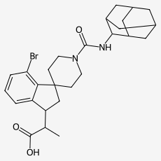 CC(C(=O)O)C1CC2(CCN(C(=O)NC3C4CC5CC(C4)CC3C5)CC2)c2c(Br)cccc21